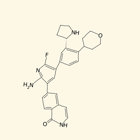 Nc1nc(F)c(-c2ccc(C3CCOCC3)c([C@@H]3CCCN3)c2)cc1-c1ccc2c(=O)[nH]ccc2c1